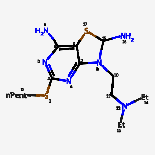 CCCCCSc1nc(N)c2c(n1)N(CCN(CC)CC)C(N)S2